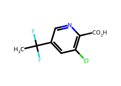 CC(F)(F)c1cnc(C(=O)O)c(Cl)c1